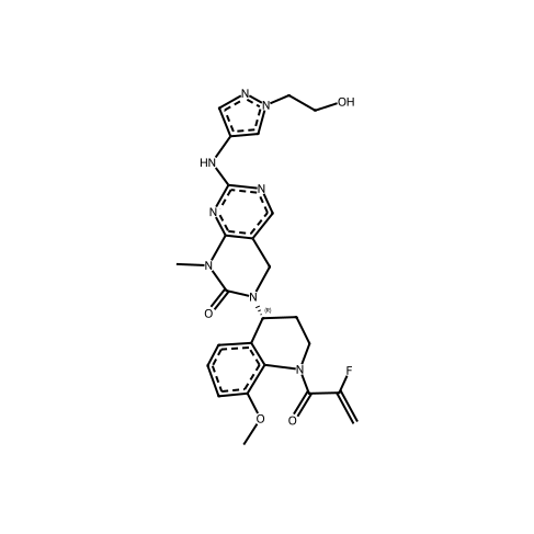 C=C(F)C(=O)N1CC[C@@H](N2Cc3cnc(Nc4cnn(CCO)c4)nc3N(C)C2=O)c2cccc(OC)c21